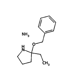 CCC1(OCc2ccccc2)CCCN1.N